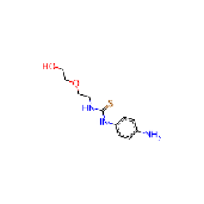 Nc1ccc(NC(=S)NCCOCCO)cc1